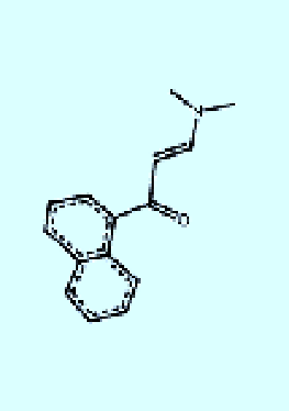 CN(C)C=CC(=O)c1cccc2ccccc12